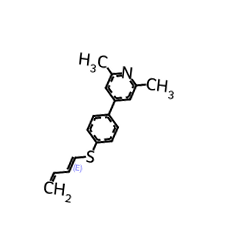 C=C/C=C/Sc1ccc(-c2cc(C)nc(C)c2)cc1